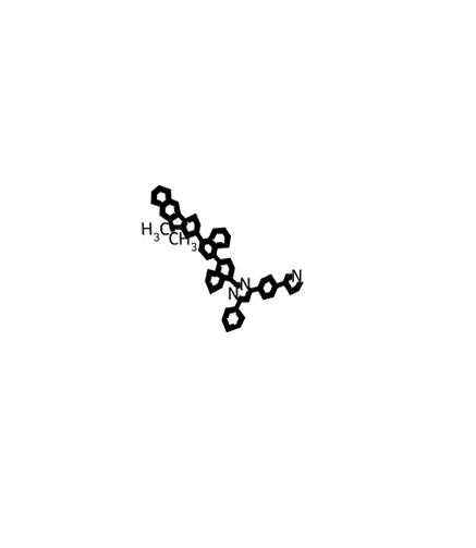 CC1(C)c2cc(-c3ccc(-c4ccc(-c5nc(-c6ccccc6)cc(-c6ccc(-c7cccnc7)cc6)n5)c5ccccc45)c4ccccc34)ccc2-c2cc3ccccc3cc21